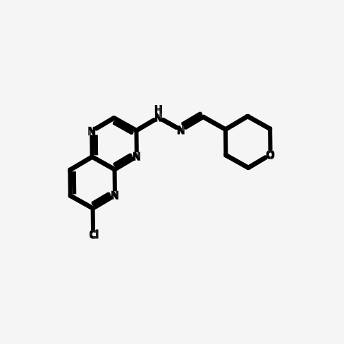 Clc1ccc2ncc(N/N=C/C3CCOCC3)nc2n1